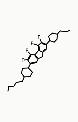 CCCCCC1CCC(c2cc3c(c(F)c2F)-c2c(cc(C4CCC(CCC)CC4)c(F)c2F)C3)CC1